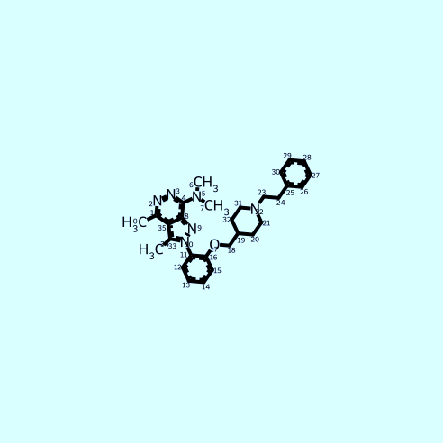 Cc1nnc(N(C)C)c2nn(-c3ccccc3OCC3CCN(CCc4ccccc4)CC3)c(C)c12